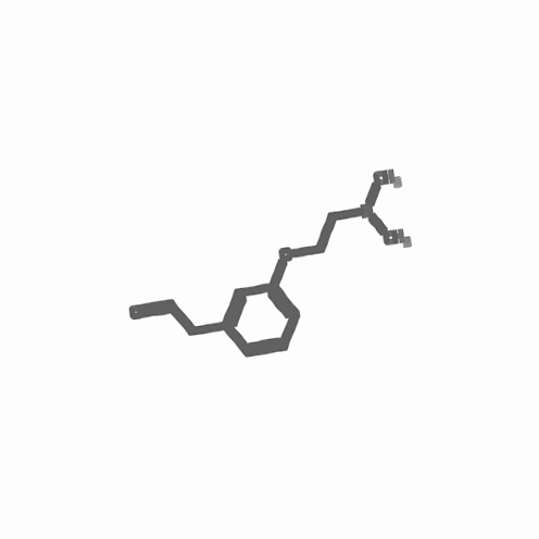 CN(C)CCOc1cccc(CC=O)c1